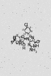 Nc1nc2c(nc(-c3ccc(Cl)cc3)n2[C@@H]2OC3CO[PH](=S)O[C@H]3C2O)c(=O)[nH]1